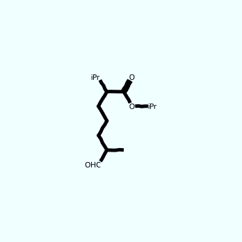 CC(C=O)CCCC(C(=O)OC(C)C)C(C)C